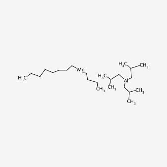 CC(C)[CH2][Al]([CH2]C(C)C)[CH2]C(C)C.CCCCCCC[CH2][Mg][CH2]CCC